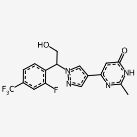 Cc1nc(-c2cnn(C(CO)c3ccc(C(F)(F)F)cc3F)c2)cc(=O)[nH]1